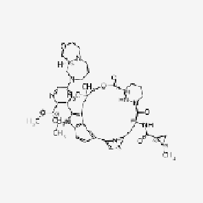 CCn1c(-c2cc(N3CCCN4CCOC[C@@H]4C3)cnc2[C@H](C)OC)c2c3cc(ccc31)-c1csc(n1)C[C@H](NC(=O)[C@H]1C[C@@H]1C)C(=O)N1CCC[C@](C=O)(COCC(C)(C)C2)N1